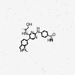 C[C@H](CO)Nc1nc(Nc2ccc([SH](=N)=O)cc2)ncc1-c1ccc2cnn(C)c2c1